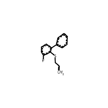 C=CCSc1c(F)cccc1-c1ccccc1